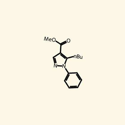 CCCCc1c(C(=O)OC)cnn1-c1ccccc1